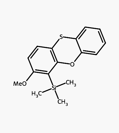 COc1ccc2c(c1[Si](C)(C)C)Oc1ccccc1S2